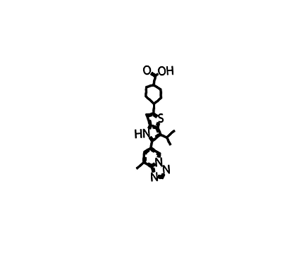 Cc1cc(-c2[nH]c3cc(C4CCC(C(=O)O)CC4)sc3c2C(C)C)cn2ncnc12